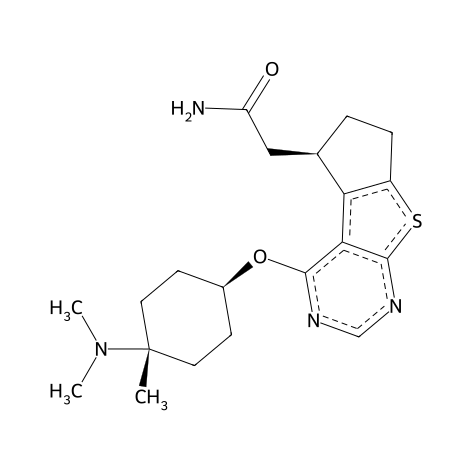 CN(C)[C@]1(C)CC[C@@H](Oc2ncnc3sc4c(c23)[C@@H](CC(N)=O)CC4)CC1